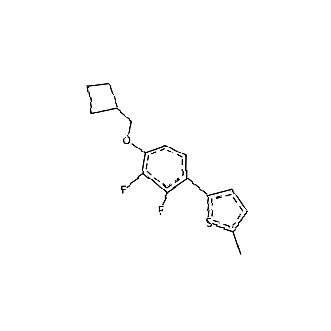 Cc1ccc(-c2ccc(OCC3CCC3)c(F)c2F)s1